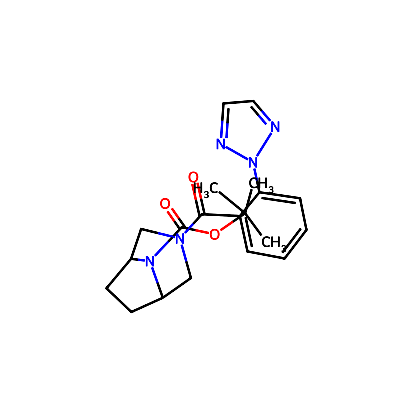 CC(C)(C)OC(=O)N1C2CCC1CN(C(=O)c1ccccc1-n1nccn1)C2